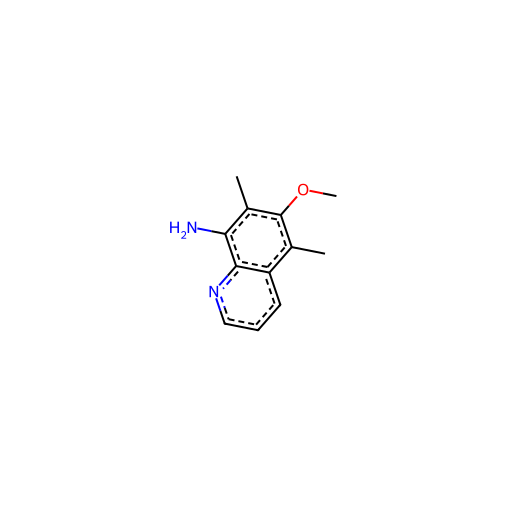 COc1c(C)c(N)c2ncccc2c1C